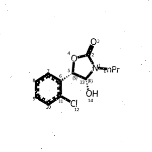 CCCN1C(=O)O[C@@H](c2ccccc2Cl)[C@H]1O